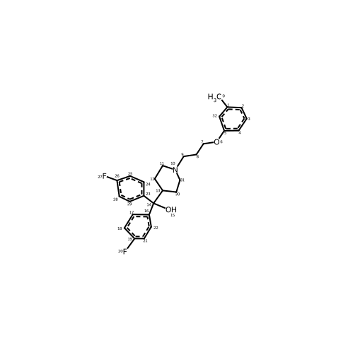 Cc1cccc(OCCCN2CCC(C(O)(c3ccc(F)cc3)c3ccc(F)cc3)CC2)c1